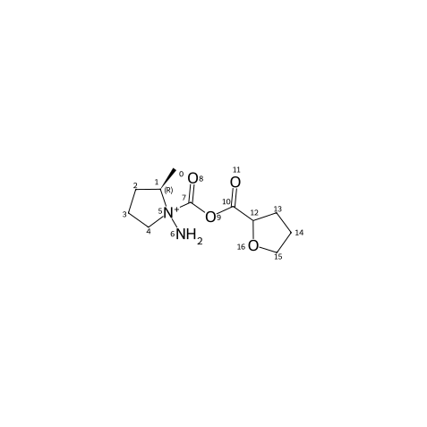 C[C@@H]1CCC[N+]1(N)C(=O)OC(=O)C1CCCO1